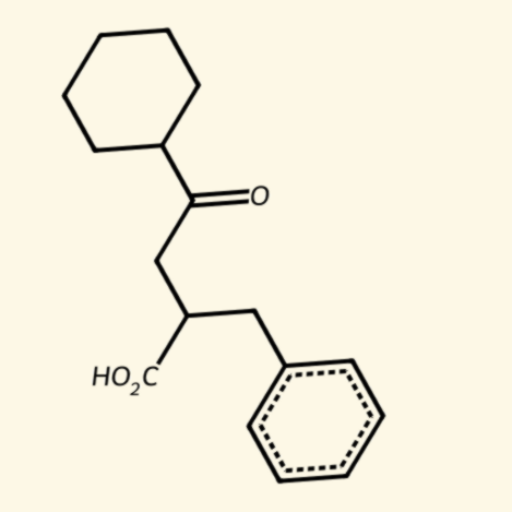 O=C(O)C(CC(=O)C1CCCCC1)Cc1ccccc1